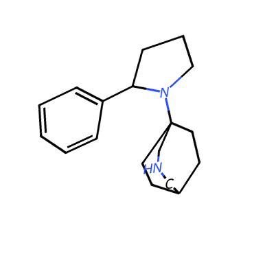 c1ccc(C2CCCN2C23CCC(CC2)CNC3)cc1